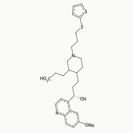 COc1ccc2nccc([C@@H](O)CCC3CCN(CCCSc4cccs4)CC3CCC(=O)O)c2c1